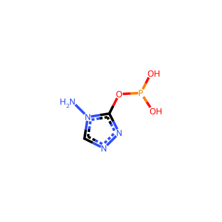 Nn1cnnc1OP(O)O